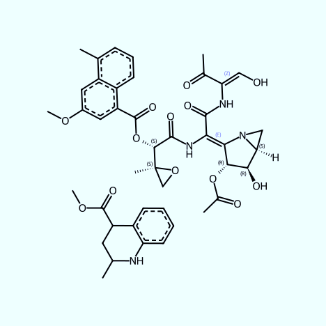 COC(=O)C1CC(C)Nc2ccccc21.COc1cc(C(=O)O[C@H](C(=O)N/C(C(=O)N/C(=C\O)C(C)=O)=C2\[C@@H](OC(C)=O)[C@H](O)[C@@H]3CN23)[C@]2(C)CO2)c2cccc(C)c2c1